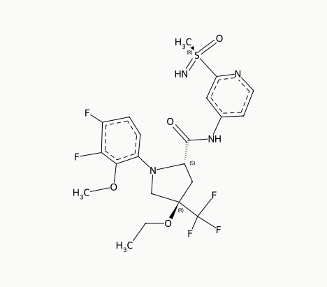 CCO[C@]1(C(F)(F)F)C[C@@H](C(=O)Nc2ccnc([S@](C)(=N)=O)c2)N(c2ccc(F)c(F)c2OC)C1